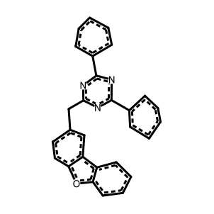 c1ccc(-c2nc(Cc3ccc4oc5ccccc5c4c3)nc(-c3ccccc3)n2)cc1